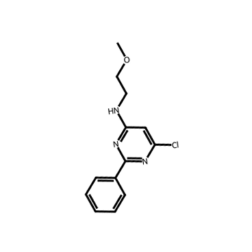 COCCNc1cc(Cl)nc(-c2ccccc2)n1